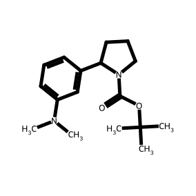 CN(C)c1cccc(C2CCCN2C(=O)OC(C)(C)C)c1